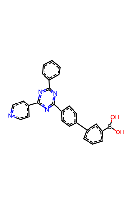 OB(O)c1cccc(-c2ccc(-c3nc(-c4ccccc4)nc(-c4ccncc4)n3)cc2)c1